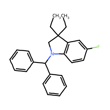 CCC1(CC)CN(C(c2ccccc2)c2ccccc2)c2ccc(F)cc21